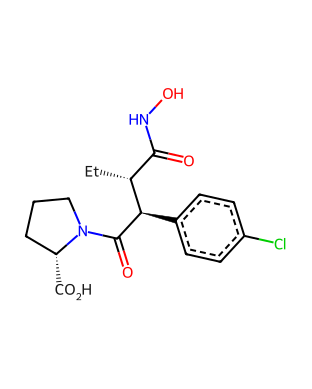 CC[C@H](C(=O)NO)[C@H](C(=O)N1CCC[C@H]1C(=O)O)c1ccc(Cl)cc1